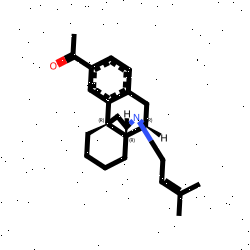 CC(=O)c1ccc2c(c1)[C@@]13CCCC[C@H]1[C@@H](C2)N(CC=C(C)C)CC3